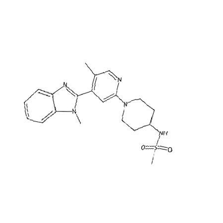 Cc1cnc(N2CCC(NS(C)(=O)=O)CC2)cc1-c1nc2ccccc2n1C